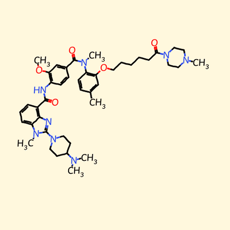 COc1cc(C(=O)N(C)c2ccc(C)cc2OCCCCCC(=O)N2CCN(C)CC2)ccc1NC(=O)c1cccc2c1nc(N1CCC(N(C)C)CC1)n2C